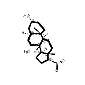 C[C@]12CC[C@@H](N)C[C@@H]1CC[C@@H]1[C@@H]2CC[C@]2(C)[C@@H]([N+](=O)[O-])CC[C@@H]12.Cl